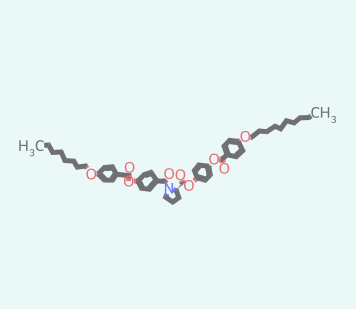 CCCCCCCCCCOc1ccc(C(=O)Oc2ccc(OC(=O)[C@@H]3CCCN3C(=O)c3ccc(OC(=O)c4ccc(OCCCCCCCC)cc4)cc3)cc2)cc1